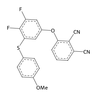 COc1ccc(Sc2cc(Oc3cccc(C#N)c3C#N)cc(F)c2F)cc1